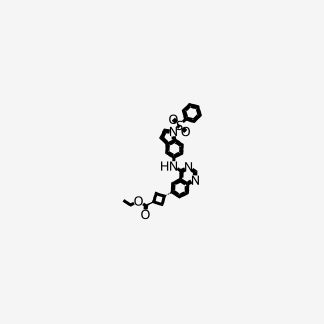 CCOC(=O)[C@H]1C[C@H](c2ccc3ncnc(Nc4ccc5c(ccn5S(=O)(=O)c5ccccc5)c4)c3c2)C1